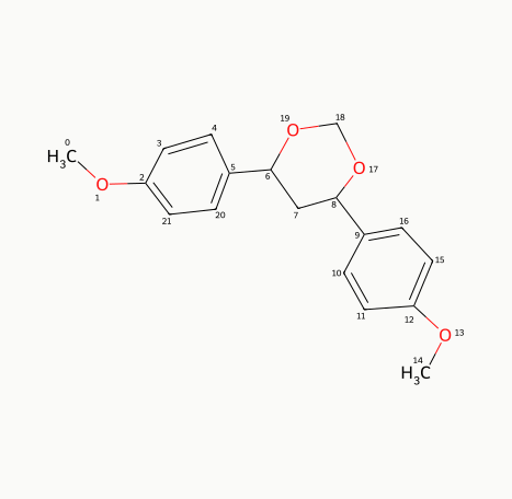 COc1ccc(C2CC(c3ccc(OC)cc3)OCO2)cc1